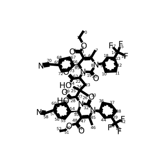 CCOC(=O)C1=C(C)N(c2cccc(C(F)(F)F)c2)C(=O)N(C(CC(C)(C)C(C(=O)O)N2C(=O)N(c3cccc(C(F)(F)F)c3)C(C)=C(C(=O)OCC)[C@H]2c2ccc(C#N)cc2)C(=O)O)[C@@H]1c1ccc(C#N)cc1